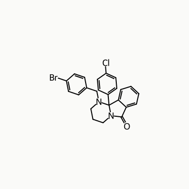 O=C1c2ccccc2C2(c3ccc(Cl)cc3)N(Cc3ccc(Br)cc3)CCCN12